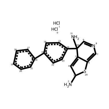 Cl.Cl.NC1C=C2C(=CN=CC2(N)c2ccc(-c3ccccc3)cc2)S1